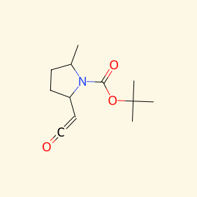 CC1CCC(C=C=O)N1C(=O)OC(C)(C)C